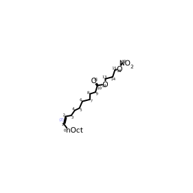 CCCCCCCC/C=C\CCCCCCCC(=O)OCCCO[N+](=O)[O-]